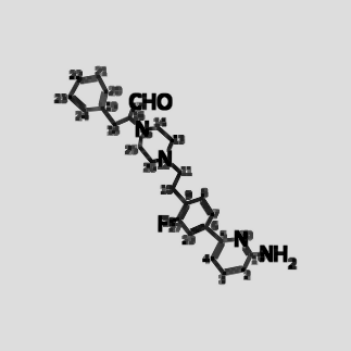 Nc1cccc(-c2ccc(CCN3CCN(C(C=O)Cc4ccccc4)CC3)c(F)c2)n1